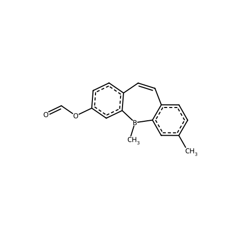 CB1c2cc(C)ccc2C=Cc2ccc(OC=O)cc21